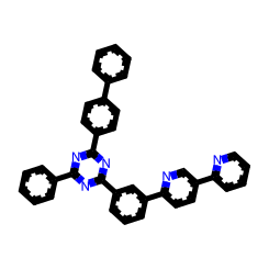 c1ccc(-c2ccc(-c3nc(-c4ccccc4)nc(-c4cccc(-c5ccc(-c6ccccn6)cn5)c4)n3)cc2)cc1